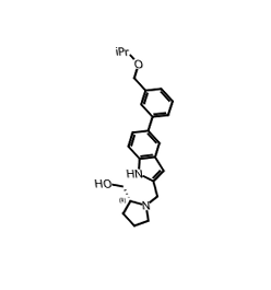 CC(C)OCc1cccc(-c2ccc3[nH]c(CN4CCC[C@@H]4CO)cc3c2)c1